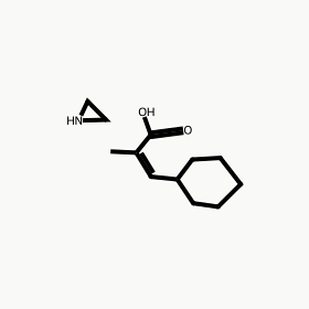 C1CN1.CC(=CC1CCCCC1)C(=O)O